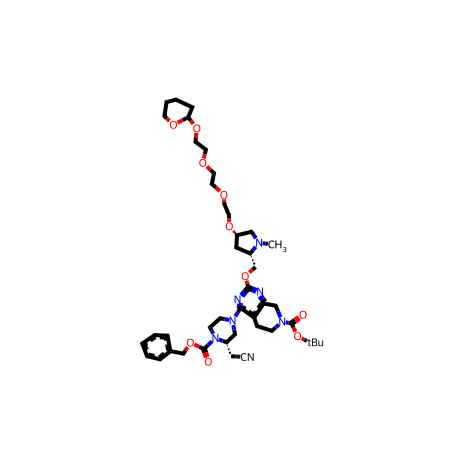 CN1C[C@H](OCCOCCOCCOC2CCCCO2)C[C@H]1COc1nc2c(c(N3CCN(C(=O)OCc4ccccc4)[C@@H](CC#N)C3)n1)CCN(C(=O)OC(C)(C)C)C2